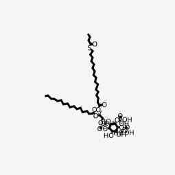 CCCCCCCCCCCCCCCC(=O)O[C@H](COC(=O)CCCCCCCCCCCCCCCCSC(=O)CCC)COP(=O)(O)OC1C(O)[C@@H](OP(=O)(O)O)C(OP(=O)(O)O)[C@@H](O)[C@H]1O